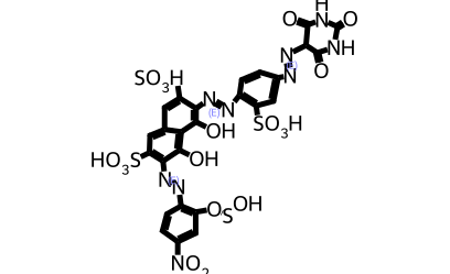 O=C1NC(=O)C(/N=N/c2ccc(/N=N/c3c(S(=O)(=O)O)cc4cc(S(=O)(=O)O)c(/N=N/c5ccc([N+](=O)[O-])cc5OSO)c(O)c4c3O)c(S(=O)(=O)O)c2)C(=O)N1